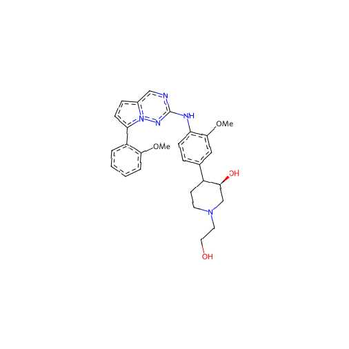 COc1cc(C2CCN(CCO)C[C@@H]2O)ccc1Nc1ncc2ccc(-c3ccccc3OC)n2n1